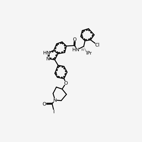 CC(C)[C@H](NC(=O)c1ccc2[nH]nc(-c3ccc(OC4CCN(C(=O)I)CC4)cc3)c2c1)c1ccccc1Cl